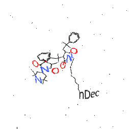 CCCCCCCCCCCCCCCCCCN1C(=O)C(CC(C)(C)c2ccccc2)C(C(C)(CC2C(=O)N(C3CC(C)(C)N(C)C(C)(C)C3)C(=O)C2C)c2ccccc2)C1=O